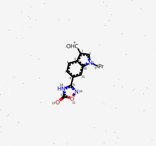 CC(C)n1cc(C=O)c2ccc(-c3noc(=O)[nH]3)cc21